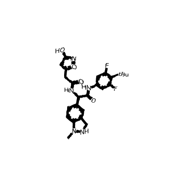 CN1NCc2cc(C(NC(=O)Cc3cc(O)no3)C(=O)Nc3cc(F)c(C(C)(C)C)c(F)c3)ccc21